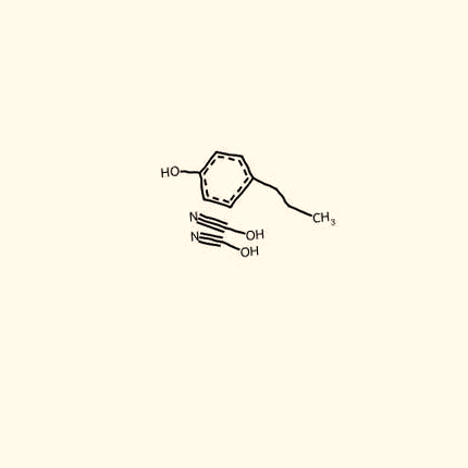 CCCc1ccc(O)cc1.N#CO.N#CO